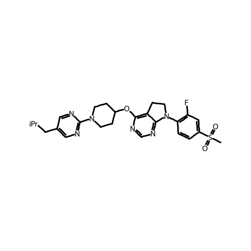 CC(C)Cc1cnc(N2CCC(Oc3ncnc4c3CCN4c3ccc(S(C)(=O)=O)cc3F)CC2)nc1